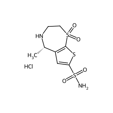 C[C@@H]1NCCS(=O)(=O)c2sc(S(N)(=O)=O)cc21.Cl